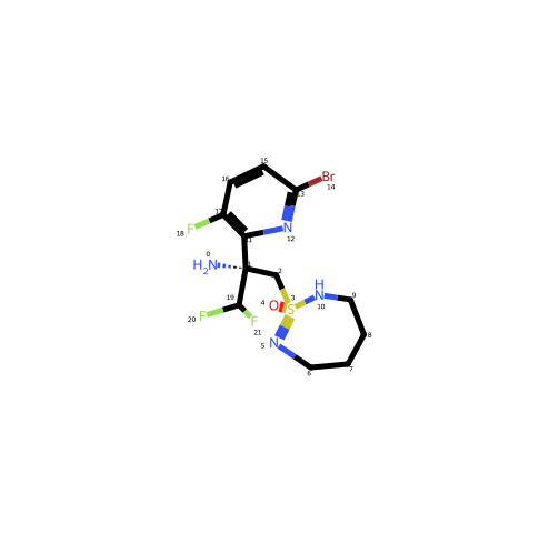 N[C@@](CS1(=O)=NCCCCN1)(c1nc(Br)ccc1F)C(F)F